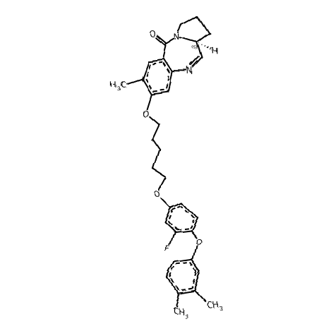 Cc1ccc(Oc2ccc(OCCCCCOc3cc4c(cc3C)C(=O)N3CCC[C@H]3C=N4)cc2F)cc1C